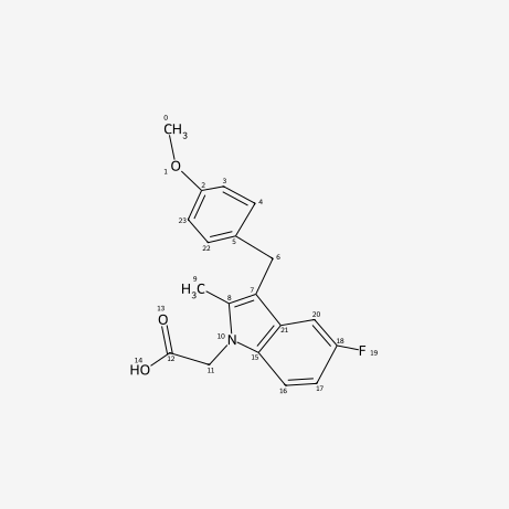 COc1ccc(Cc2c(C)n(CC(=O)O)c3ccc(F)cc23)cc1